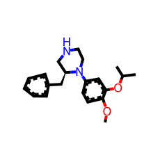 COc1ccc(N2CCNC[C@@H]2Cc2ccccc2)cc1OC(C)C